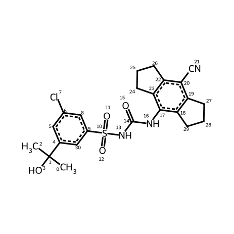 CC(C)(O)c1cc(Cl)cc(S(=O)(=O)NC(=O)Nc2c3c(c(C#N)c4c2CCC4)CCC3)c1